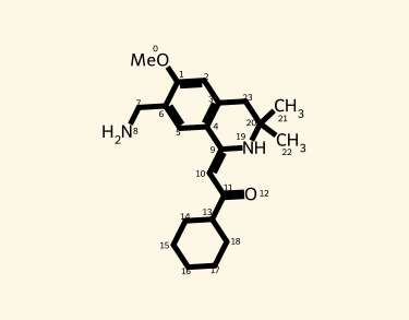 COc1cc2c(cc1CN)C(=CC(=O)C1CCCCC1)NC(C)(C)C2